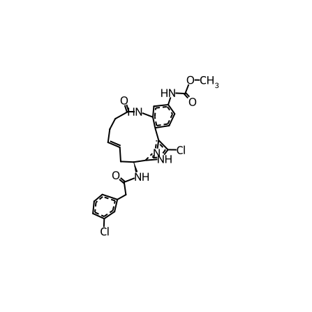 COC(=O)Nc1ccc2c(c1)NC(=O)CC/C=C/C[C@H](NC(=O)Cc1cccc(Cl)c1)c1nc-2c(Cl)[nH]1